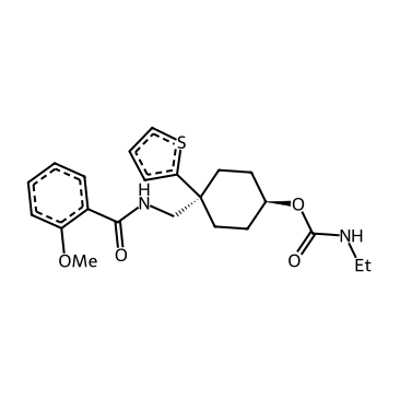 CCNC(=O)O[C@H]1CC[C@@](CNC(=O)c2ccccc2OC)(c2cccs2)CC1